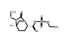 N=C(NS(=O)(=O)NCN)[C@@H]1CC[C@@H]2CN1C(=O)N2OS(=O)(=O)O